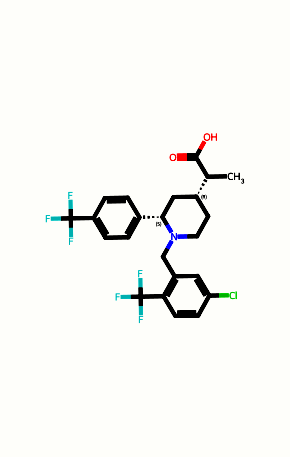 CC(C(=O)O)[C@@H]1CCN(Cc2cc(Cl)ccc2C(F)(F)F)[C@H](c2ccc(C(F)(F)F)cc2)C1